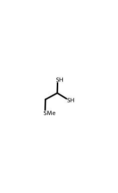 CSCC(S)S